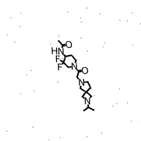 CC(=O)NC1CCN(C(=O)CN2CCC3(C2)CN(C(C)C)C3)CC1(F)F